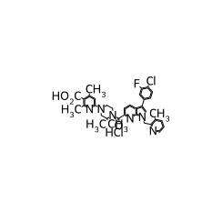 Cc1cccnc1Cn1cc(-c2ccc(Cl)c(F)c2)c2ccc(C(=O)N3CCN(c4cc(C)c(C(=O)O)c(C)n4)CC3(C)C)nc21.Cl